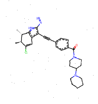 C[C@@H]1C(Cl)=Cc2c([nH]c(N=N)c2C#Cc2ccc(C(=O)N3CCC(N4CCCCC4)CC3)cc2)[C@H]1C